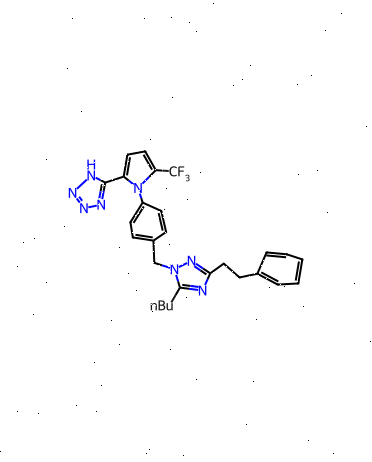 CCCCc1nc(CCc2ccccc2)nn1Cc1ccc(-n2c(-c3nnn[nH]3)ccc2C(F)(F)F)cc1